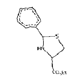 CCOC(=O)C1CSC(c2ccccc2)N1